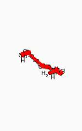 C=CC(=O)Nc1cc2c(Nc3ccc(F)c(Cl)c3)ncnc2cc1OCCCN1CCC(N2CCN(C(=O)COCCOCCOCCOCCSc3cccc4c3CN(C3CCC(=O)NC3=O)C4=O)CC2)CC1